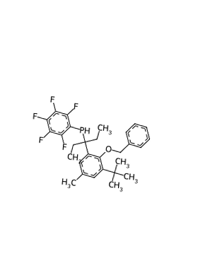 CCC(CC)(Pc1c(F)c(F)c(F)c(F)c1F)c1cc(C)cc(C(C)(C)C)c1OCc1ccccc1